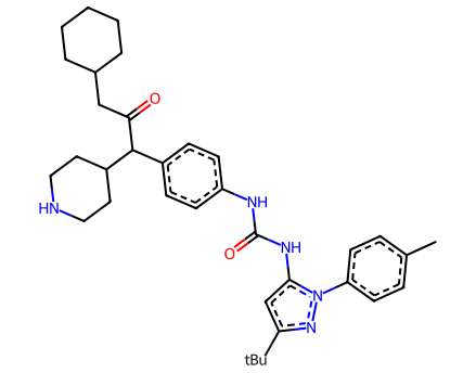 Cc1ccc(-n2nc(C(C)(C)C)cc2NC(=O)Nc2ccc(C(C(=O)CC3CCCCC3)C3CCNCC3)cc2)cc1